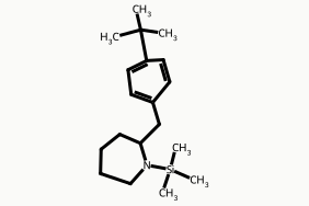 CC(C)(C)c1ccc(CC2CCCCN2[Si](C)(C)C)cc1